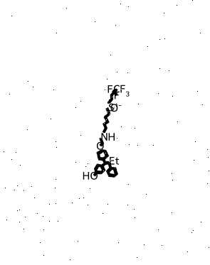 CCC(=C(c1ccc(O)cc1)c1ccc(OCCNCCCCCCC[S+]([O-])CCCC(F)(F)C(F)(F)F)cc1)c1ccccc1